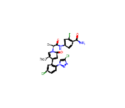 CCC(C(=O)Nc1ccc(C(N)=O)c(F)c1)n1cc(OC)c(-c2cc(Cl)ccc2-n2cc(Cl)nn2)cc1=O